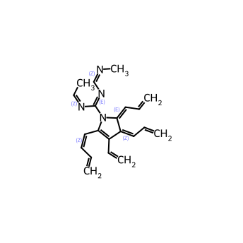 C=C/C=C\c1c(C=C)c(=C/C=C)/c(=C\C=C)n1C(/N=C\C)=N/C=N\C